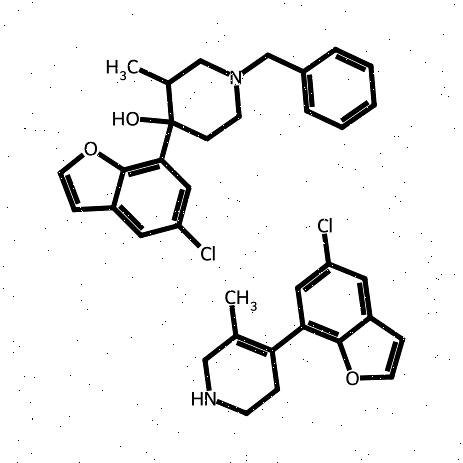 CC1=C(c2cc(Cl)cc3ccoc23)CCNC1.CC1CN(Cc2ccccc2)CCC1(O)c1cc(Cl)cc2ccoc12